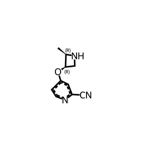 C[C@H]1NC[C@H]1Oc1ccnc(C#N)c1